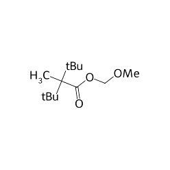 COCOC(=O)C(C)(C(C)(C)C)C(C)(C)C